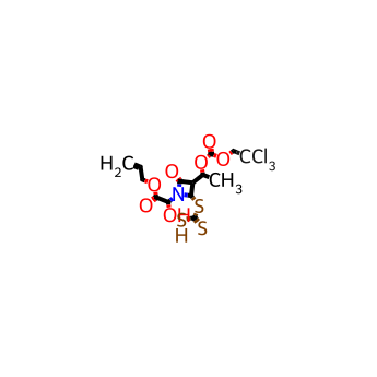 C=CCOC(=O)C(O)N1C(=O)C(C(C)OC(=O)OCC(Cl)(Cl)Cl)C1SC(=S)S